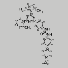 CC1COCCN1c1nc(-c2ccc(NC(=O)Nc3ccc(N4CCN(C5CC5)CC4)cc3)cc2)nc(N2[C@H](C)CC[C@@H]2C)n1